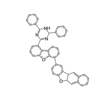 C1=c2ccccc2=CC2c3cc(-c4cccc5c4oc4cccc(C6=NC(c7ccccc7)NC(c7ccccc7)=N6)c45)ccc3OC12